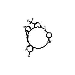 O=c1cc2c(c[nH]1)-c1ccc3c(c[nH]c3c1)-c1nc(ncc1C(F)(F)F)N[C@H]1CC[C@@H](C1)NCCCC2